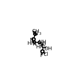 Cn1cc(-c2cnc3[nH]nc(-c4c[nH]c(C(=O)NC(CO)c5ccc(F)c(Cl)c5)c4)c3c2)cn1